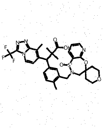 Cc1ccc(C(c2ccn3c(C(F)(F)F)nnc3c2C)C(C)(C)C(=O)O)cc1CN1CC2(CCOCC2)Oc2ncccc2[S+]1[O-]